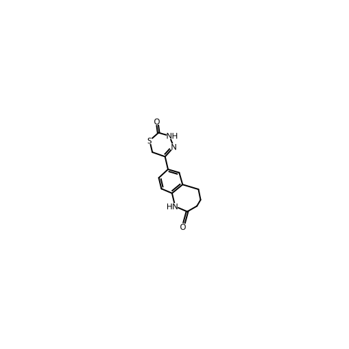 O=C1CCCc2cc(C3=NNC(=O)SC3)ccc2N1